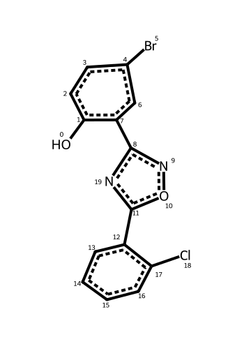 Oc1ccc(Br)cc1-c1noc(-c2ccccc2Cl)n1